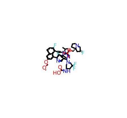 COCOc1cc(-c2ncc3c(N4CC(NC(=O)O)CC(F)(F)C4)nc(OC[C@@]45CCCN4C[C@H](F)C5)nc3c2F)c2c(C#C[Si](C(C)C)(C(C)C)C(C)C)c(F)ccc2c1